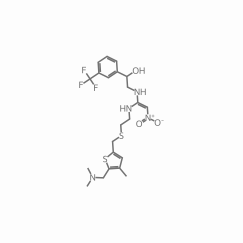 Cc1cc(CSCCNC(=C[N+](=O)[O-])NCC(O)c2cccc(C(F)(F)F)c2)sc1CN(C)C